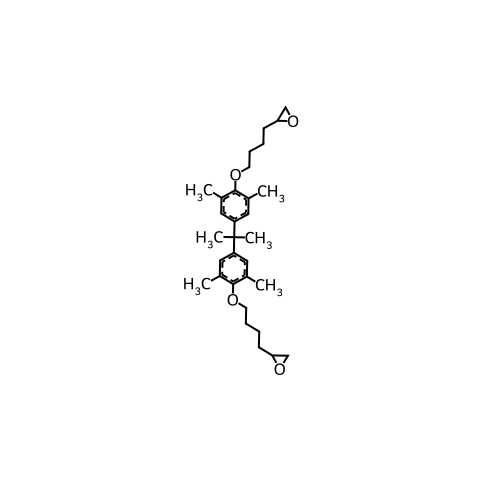 Cc1cc(C(C)(C)c2cc(C)c(OCCCCC3CO3)c(C)c2)cc(C)c1OCCCCC1CO1